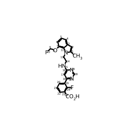 Cc1cc2cccc(OCF)c2n1CCNc1cc(-c2cccc(C(=O)O)c2F)ncn1